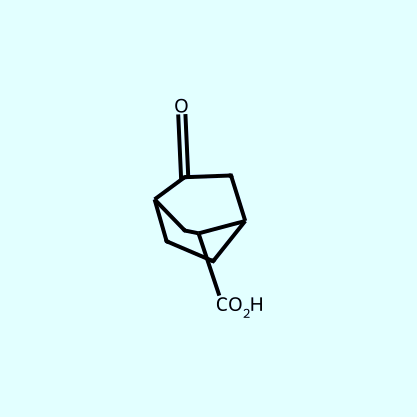 O=C1CC2CCC1CC2C(=O)O